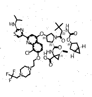 C=C[C@@H]1CC1(NC(=O)[C@@H]1C[C@@H](Oc2cc(-c3csc(NC(C)C)n3)nc3c(Cl)c(OCCN4CCN(CC(F)(F)F)CC4)ccc23)CN1C(=O)[C@@H](NC(=O)O[C@@H]1C[C@@H]2C[C@@H]2C1)C(C)(C)C)C(=O)O